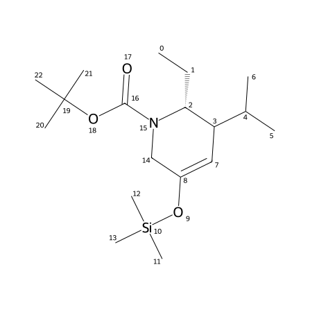 CC[C@@H]1C(C(C)C)C=C(O[Si](C)(C)C)CN1C(=O)OC(C)(C)C